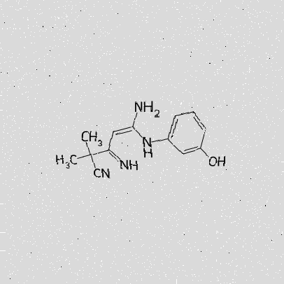 CC(C)(C#N)C(=N)/C=C(/N)Nc1cccc(O)c1